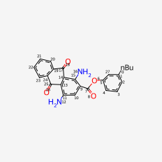 CCCCc1cccc(OC(=O)c2cc(N)c3c(c2N)C(=O)c2ccccc2C3=O)c1